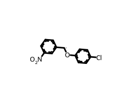 O=[N+]([O-])c1cccc([CH]Oc2ccc(Cl)cc2)c1